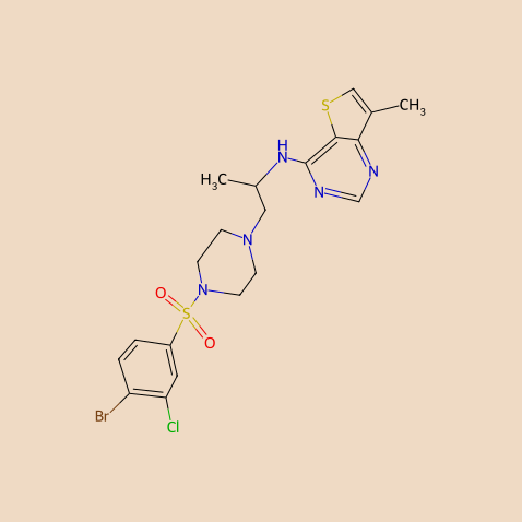 Cc1csc2c(NC(C)CN3CCN(S(=O)(=O)c4ccc(Br)c(Cl)c4)CC3)ncnc12